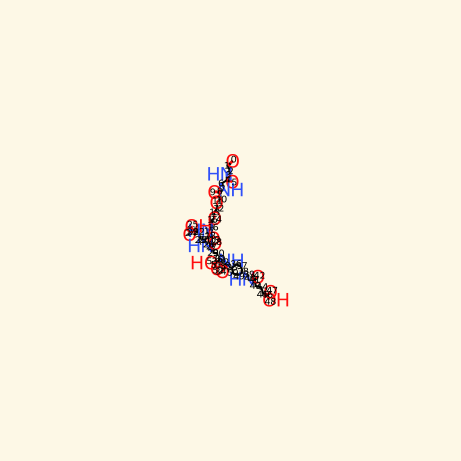 O=CCNC(=O)CNC(=O)COCCOCCNC(=O)[C@H](CCC(=O)O)NC(=O)CC[C@H](NC(=O)[C@H]1CC[C@H](CNC(=O)CCCC(=O)O)CC1)C(=O)O